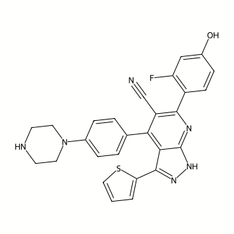 N#Cc1c(-c2ccc(O)cc2F)nc2[nH]nc(-c3cccs3)c2c1-c1ccc(N2CCNCC2)cc1